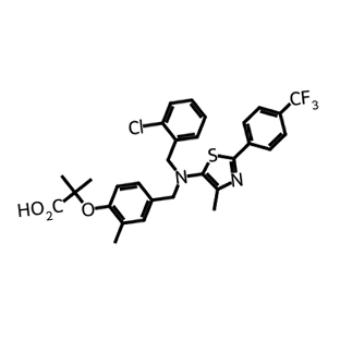 Cc1cc(CN(Cc2ccccc2Cl)c2sc(-c3ccc(C(F)(F)F)cc3)nc2C)ccc1OC(C)(C)C(=O)O